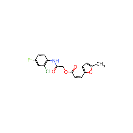 Cc1ccc(/C=C\C(=O)OCC(=O)Nc2ccc(F)cc2Cl)o1